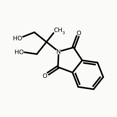 CC(CO)(CO)N1C(=O)c2ccccc2C1=O